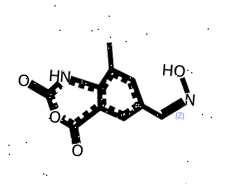 Cc1cc(/C=N\O)cc2c(=O)oc(=O)[nH]c12